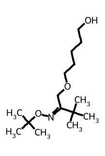 CC(C)(C)ON=C(COCCCCCO)C(C)(C)C